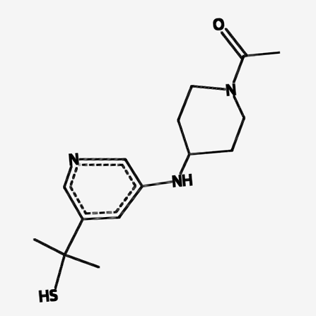 CC(=O)N1CCC(Nc2cncc(C(C)(C)S)c2)CC1